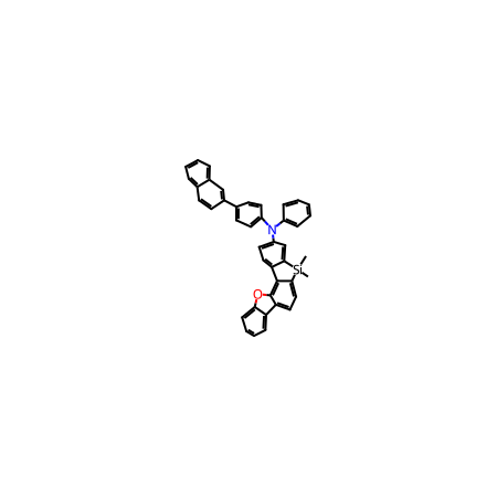 C[Si]1(C)c2cc(N(c3ccccc3)c3ccc(-c4ccc5ccccc5c4)cc3)ccc2-c2c1ccc1c2oc2ccccc21